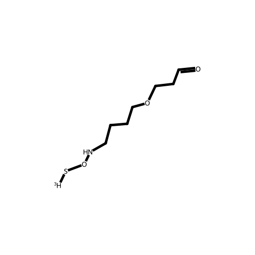 [3H]SONCCCCOCCC=O